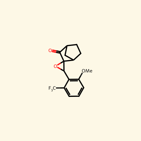 COc1cccc(C(F)(F)F)c1C1OC12C(=O)C1CCC2C1